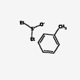 CC[S+]([O-])CC.Cc1ccccc1